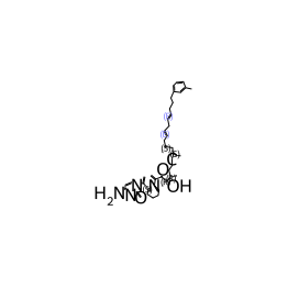 C=C(C(=O)[C@](C)(O)[C@H](C)CCC[C@H](C)C[C@H](C)C/C=C/C/C=C/CCCc1cccc(C)c1)N1CCCC[C@H]1C(=C)n1ccc(N)nc1=O